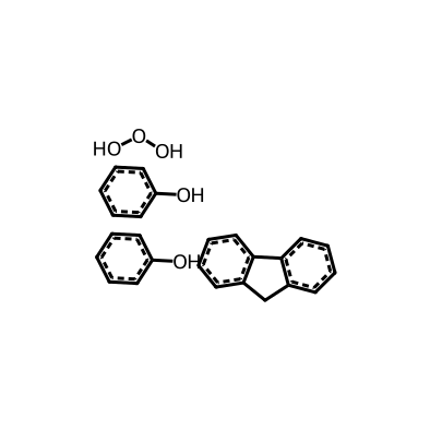 OOO.Oc1ccccc1.Oc1ccccc1.c1ccc2c(c1)Cc1ccccc1-2